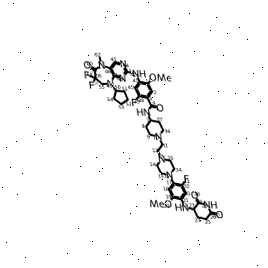 COc1cc(C(=O)NC2CCN(CCN3CCN(c4cc(OC)c(NC5CCC(=O)NC5=O)cc4F)CC3)CC2)c(F)cc1Nc1ncc2c(n1)N(C1CCCC1)CC(F)(F)C(=O)N2C